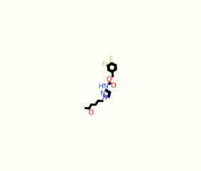 CC(=O)CCCCn1ccc(NC(=O)OCc2ccc(F)c(F)c2)n1